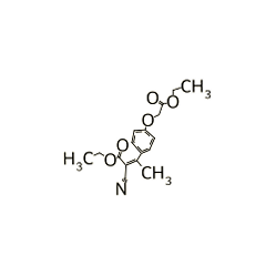 CCOC(=O)COc1ccc(/C(C)=C(/C#N)C(=O)OCC)cc1